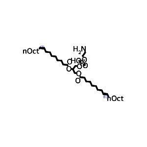 CCCCCCCC/C=C\CCCCCCCC(=O)OC(COC(=O)CCCCCCC/C=C/CCCCCCCC)COP(=O)(O)OCCN